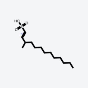 CCCCCCCCCCC(C)/C=C/S(=O)(=O)O